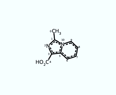 Cc1nc(C(=O)O)c2ccccn12